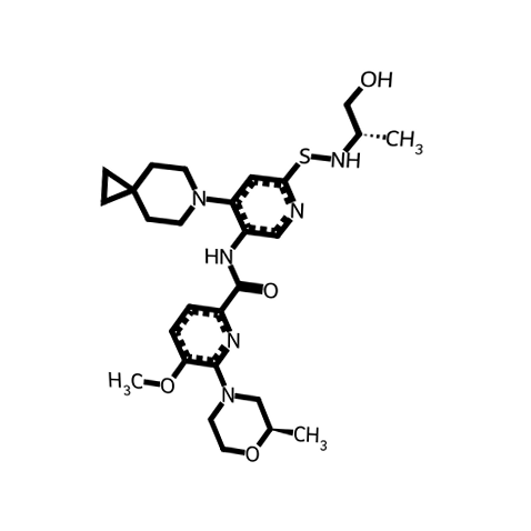 COc1ccc(C(=O)Nc2cnc(SN[C@@H](C)CO)cc2N2CCC3(CC2)CC3)nc1N1CCO[C@H](C)C1